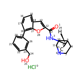 Cl.O=C(N[C@H]1CN2CCC1CC2)c1cc2cccc(-c3cccc(CO)c3)c2o1